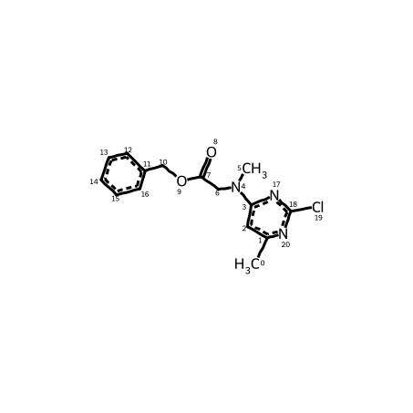 Cc1cc(N(C)CC(=O)OCc2ccccc2)nc(Cl)n1